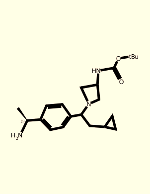 C[C@H](N)c1ccc(C(CC2CC2)N2CC(NC(=O)OC(C)(C)C)C2)cc1